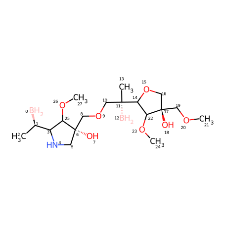 B[C@H](C)C1NC[C@](O)(COC[C@@](B)(C)C2OC[C@](O)(COC)C2OC)C1OC